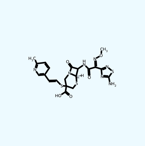 CON=C(C(=O)NC1C(=O)N2CC(SC=Cc3ccc(C)nc3)(C(=O)O)CS[C@H]12)c1nsc(N)n1